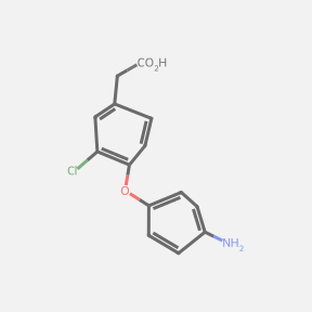 Nc1ccc(Oc2ccc(CC(=O)O)cc2Cl)cc1